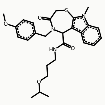 COc1ccc(CN2C(=O)CSc3c(c4ccccc4n3C)C2C(=O)NCCCOC(C)C)cc1